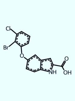 O=C(O)c1cc2cc(Oc3cccc(Cl)c3Br)ccc2[nH]1